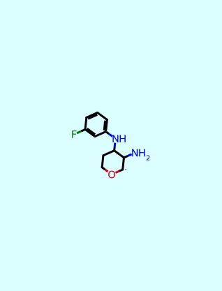 NC1[CH]OCCC1Nc1cccc(F)c1